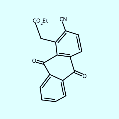 CCOC(=O)Cc1c(C#N)ccc2c1C(=O)c1ccccc1C2=O